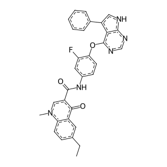 CCc1ccc2c(c1)c(=O)c(C(=O)Nc1ccc(Oc3ncnc4[nH]cc(-c5ccccc5)c34)c(F)c1)cn2C